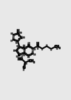 CC(=O)O.CCCCNc1ccc2ncc(-c3cc[nH]n3)n2n1